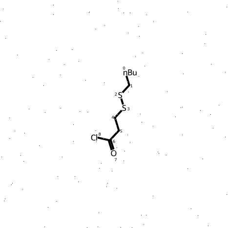 CCCCCSSCCC(=O)Cl